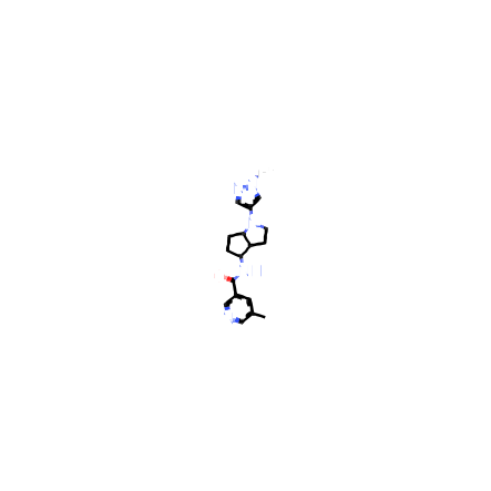 Cc1cncc(C(=O)NC2CCC3C2CCN3c2cnn(C(C)C)c2)c1